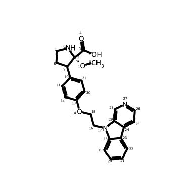 CO[C@@]1(C(=O)O)NCCC1c1ccc(OCCn2c3ccccc3c3ccncc32)cc1